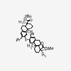 CCCCOC(=O)C1(C)CCCC2(C)c3cc(Sc4cc5c(cc4C(C)C)CCC4C(C)(C(=O)OC)CCCC54C)c(C(C)C)cc3CCC12